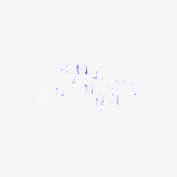 Nc1ncnc2c1nc(N)n2CCN1CCOCC1